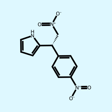 O=[N+]([O-])C[C@H](c1ccc([N+](=O)[O-])cc1)c1ccc[nH]1